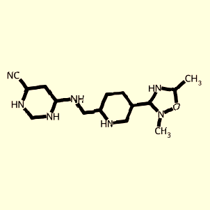 CC1NC(C2CCC(CNC3CC(C#N)NCN3)NC2)N(C)O1